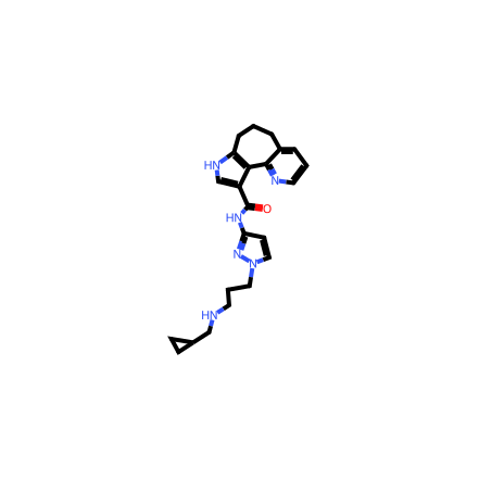 O=C(Nc1ccn(CCCNCC2CC2)n1)c1c[nH]c2c1-c1ncccc1CCC2